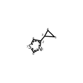 c1nc(C2CC2)cs1